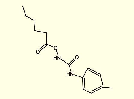 CCCCCC(=O)ONC(=O)Nc1ccc(C)cc1